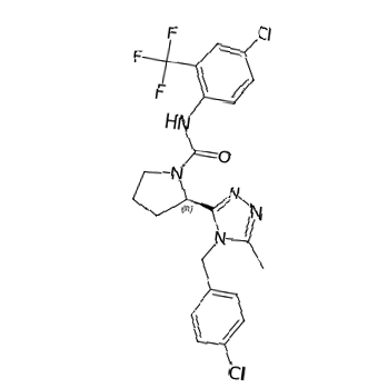 Cc1nnc([C@H]2CCCN2C(=O)Nc2ccc(Cl)cc2C(F)(F)F)n1Cc1ccc(Cl)cc1